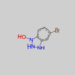 ON1NNc2cc(Br)ccc21